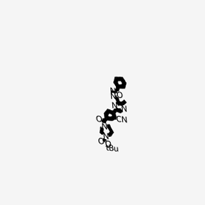 Cc1ncc(-c2ccc(C(=O)N3CCCN(C(=O)OC(C)(C)C)CC3)cc2C#N)nc1-c1nnc(-c2ccccc2)o1